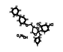 Clc1ccc([C@]2(Cn3ccnc3)OC[C@@H](COc3ccc(-c4ccccc4)cc3)O2)c(Cl)c1.O=[N+]([O-])O